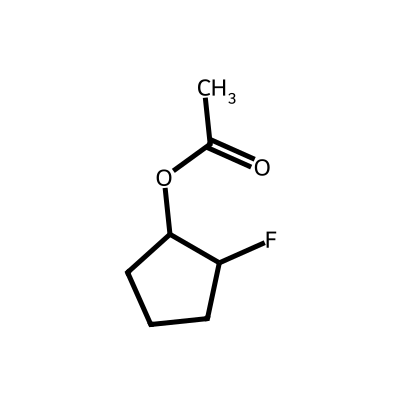 CC(=O)OC1CCCC1F